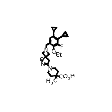 CCOc1c(CN2CC3(CC(N4CCC(C)(C(=O)O)CC4)=NO3)C2)cc(C2CC2)c(C2CC2)c1F